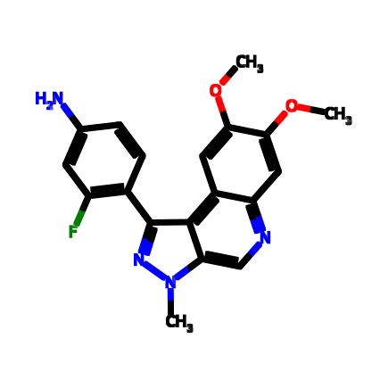 COc1cc2ncc3c(c(-c4ccc(N)cc4F)nn3C)c2cc1OC